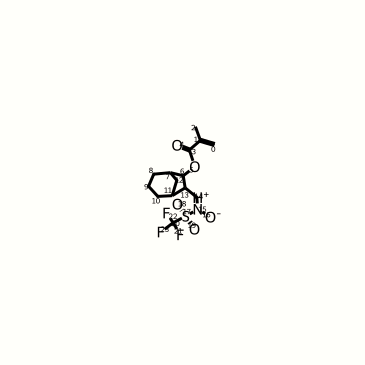 C=C(C)C(=O)OC1C2CCCC(C2)C1C[NH+]([O-])S(=O)(=O)C(F)(F)F